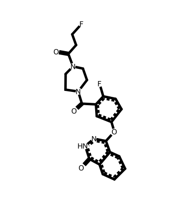 O=C(CCF)N1CCN(C(=O)c2cc(Oc3n[nH]c(=O)c4ccccc34)ccc2F)CC1